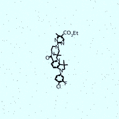 CCOC(=O)c1cnc(N2CCN(C(=O)c3ccc4c(n3)C(C)(C)CN4c3ccc(Cl)c(F)c3)C(C)(C)C2)nc1C